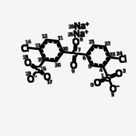 O=S(=O)([O-])c1cc(S(=O)(=O)c2ccc(Cl)c(S(=O)(=O)[O-])c2)ccc1Cl.[Na+].[Na+]